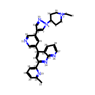 CCN1CCC(n2cc(-c3cncc(-c4cc(-c5cccc(C)n5)nc5ncccc45)c3)cn2)CC1